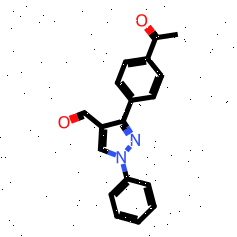 CC(=O)c1ccc(-c2nn(-c3ccccc3)cc2C=O)cc1